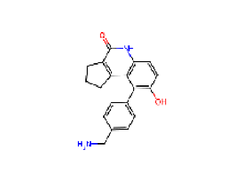 NCc1ccc(-c2c(O)ccc3[nH]c(=O)c4c(c23)CCC4)cc1